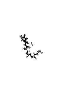 CCCCNC(C)C(C)C(=O)C(N)CC(=O)NCCN(C)CCN(C)CCN